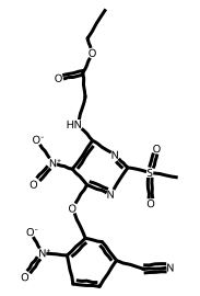 CCOC(=O)CNc1nc(S(C)(=O)=O)nc(Oc2cc(C#N)ccc2[N+](=O)[O-])c1[N+](=O)[O-]